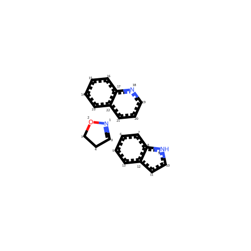 C1=NOCC1.c1ccc2[nH]ccc2c1.c1ccc2ncccc2c1